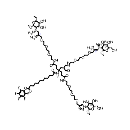 CC[C@H]1O[C@@H](OC)[C@H](N(N)/C=C(\N)COCCOCCOCCNC(=O)CCC(CCC(=O)NCCOCCOCCOCc2cn([C@H]3[C@H](OC)O[C@H](CO)[C@H](O)[C@@H]3O)nn2)(CC(C=O)CNCCOCCOCCOC/C(N)=C/N(N)[C@H]2[C@H](OC)O[C@H](CO)[C@H](O)[C@@H]2O)NC(=O)CCCCCCCCCCC(=O)Oc2c(F)c(F)c(F)c(F)c2F)[C@@H](O)[C@H]1O